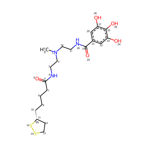 CN(CCNC(=O)CCCC[C@@H]1CCSS1)CCNC(=O)c1cc(O)c(O)c(O)c1